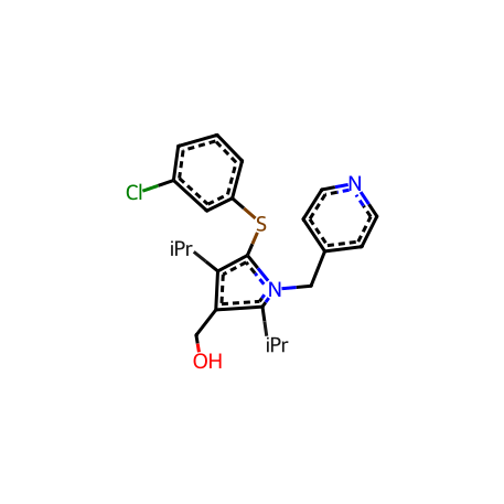 CC(C)c1c(CO)c(C(C)C)n(Cc2ccncc2)c1Sc1cccc(Cl)c1